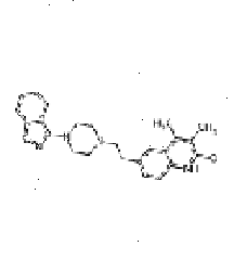 Cc1c(C)c2cc(CCN3CCN(c4nsc5ccccc45)CC3)ccc2[nH]c1=O